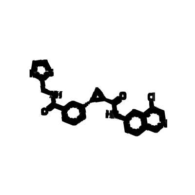 O=C(NCc1nccs1)c1cccc([C@@H]2C[C@H]2C(=O)Nc2ccc3cncc(Cl)c3c2)c1